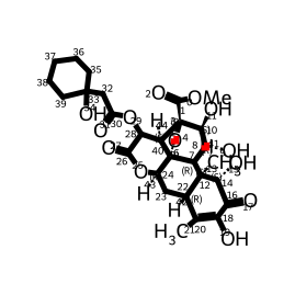 COC(=O)[C@]12OC[C@]34[C@H]([C@@H](O)[C@@H]1O)[C@@]1(C)[C@H](O)C(=O)C(O)=C(C)[C@@H]1C[C@H]3OC(=O)C(OC(=O)CC1(O)CCCCC1)[C@@H]24